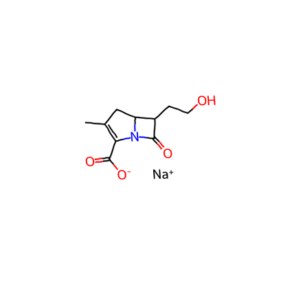 CC1=C(C(=O)[O-])N2C(=O)C(CCO)C2C1.[Na+]